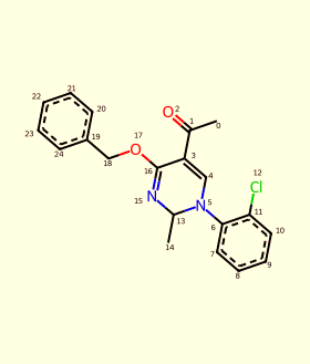 CC(=O)C1=CN(c2ccccc2Cl)C(C)N=C1OCc1ccccc1